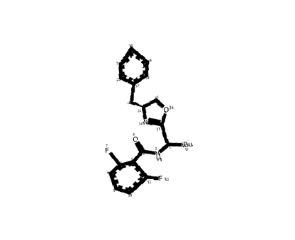 CCC(C)C(NC(=O)c1c(F)cccc1F)C1=N[C@@H](Cc2ccccc2)CO1